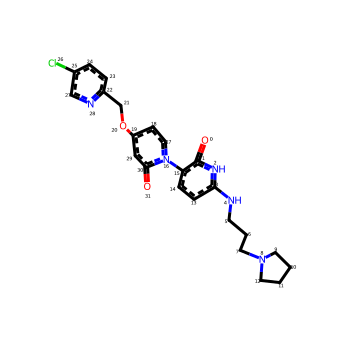 O=c1[nH]c(NCCCN2CCCC2)ccc1-n1ccc(OCc2ccc(Cl)cn2)cc1=O